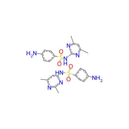 Cc1cc(C)nc(NS(=O)(=O)c2ccc(N)cc2)n1.Cc1cc(NS(=O)(=O)c2ccc(N)cc2)nc(C)n1